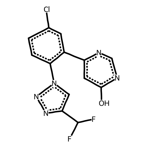 Oc1cc(-c2cc(Cl)ccc2-n2cc(C(F)F)nn2)ncn1